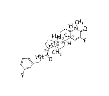 CN1C(=O)C(F)=C[C@]2(C)[C@H]3CC[C@]4(C)[C@@H](C(=O)NCc5cccc(F)c5)CC[C@H]4[C@@H]3CC[C@@H]12